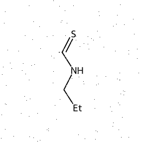 CCCN[C]=S